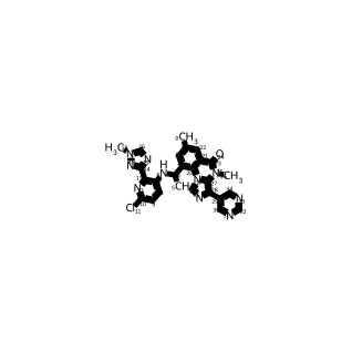 Cc1cc(C(C)Nc2ccc(Cl)nc2-c2ncn(C)n2)c2c(c1)c(=O)n(C)c1c(-c3cncnc3)ncn21